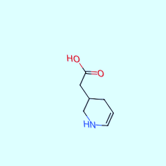 O=C(O)CC1CC=CNC1